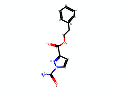 NC(=O)n1ccc(C(=O)OCCc2ccccc2)n1